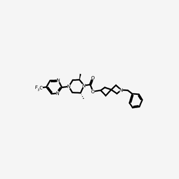 C[C@@H]1CN(c2ncc(C(F)(F)F)cn2)C[C@@H](C)N1C(=O)OC1CC2(C1)CN(Cc1ccccc1)C2